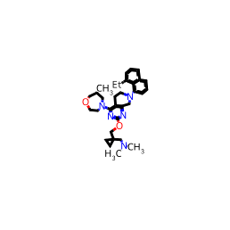 CCc1cccc2cccc(N3CCc4c(nc(OCC5(CN(C)C)CC5)nc4N4CCOCC(C)C4)C3)c12